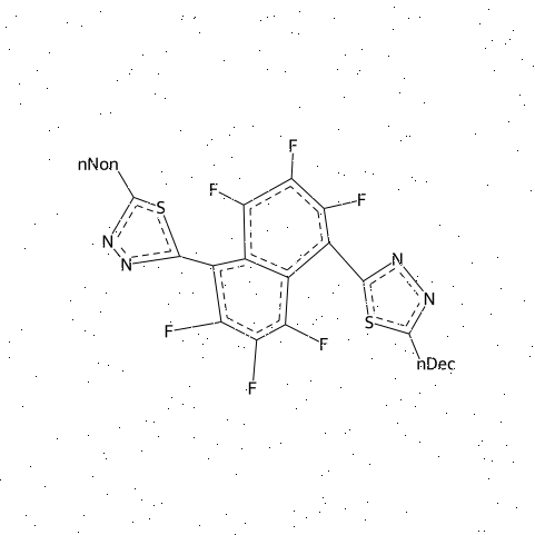 CCCCCCCCCCc1nnc(-c2c(F)c(F)c(F)c3c(-c4nnc(CCCCCCCCC)s4)c(F)c(F)c(F)c23)s1